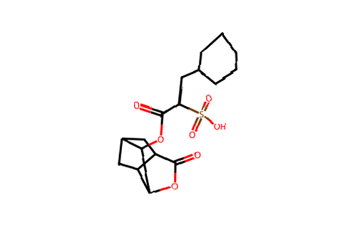 O=C1OC2C3CC(CC13)C2OC(=O)C(CC1CCCCC1)S(=O)(=O)O